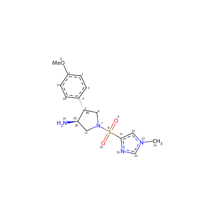 COc1ccc([C@@H]2CN(S(=O)(=O)c3cn(C)cn3)C[C@H]2N)cc1